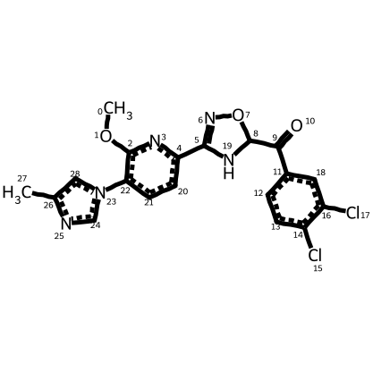 COc1nc(C2=NOC(C(=O)c3ccc(Cl)c(Cl)c3)N2)ccc1-n1cnc(C)c1